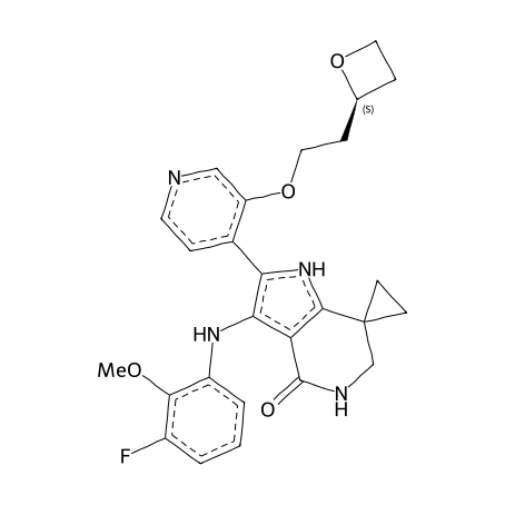 COc1c(F)cccc1Nc1c(-c2ccncc2OCC[C@@H]2CCO2)[nH]c2c1C(=O)NCC21CC1